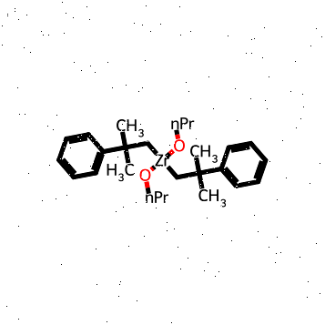 CCC[O][Zr]([CH2]C(C)(C)c1ccccc1)([CH2]C(C)(C)c1ccccc1)[O]CCC